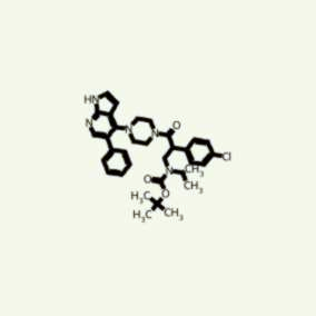 CC(C)N(CC(C(=O)N1CCN(c2c(-c3ccccc3)cnc3[nH]ccc23)CC1)c1ccc(Cl)cc1)C(=O)OC(C)(C)C